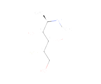 O=C[C@@H](NS(=O)(=O)O)[C@@H](O)[C@H](O)[C@@H](S)CO